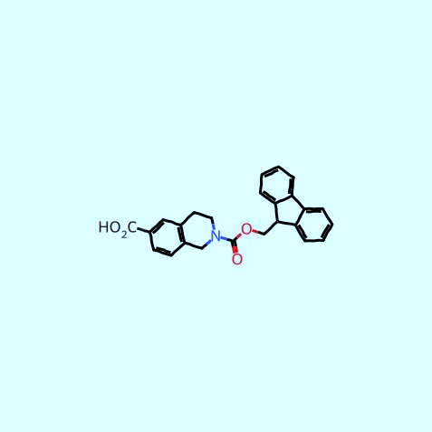 O=C(O)c1ccc2c(c1)CCN(C(=O)OCC1c3ccccc3-c3ccccc31)C2